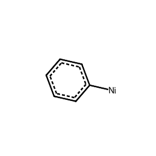 [Ni][c]1ccccc1